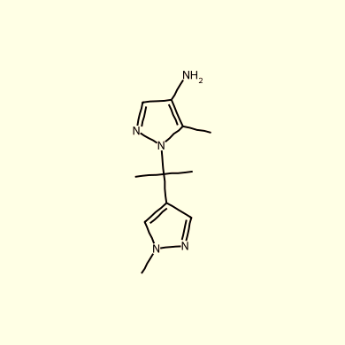 Cc1c(N)cnn1C(C)(C)c1cnn(C)c1